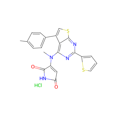 Cc1ccc(-c2csc3nc(-c4cccs4)nc(N(C)C4=CC(=O)NC4=O)c23)cc1.Cl